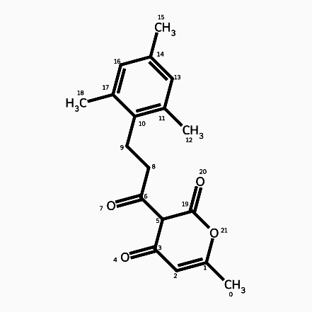 CC1=CC(=O)C(C(=O)CCc2c(C)cc(C)cc2C)C(=O)O1